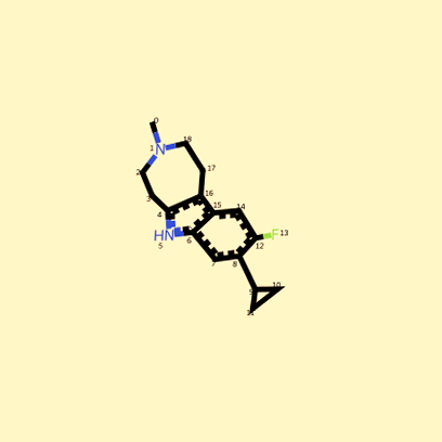 CN1CCc2[nH]c3cc(C4CC4)c(F)cc3c2CC1